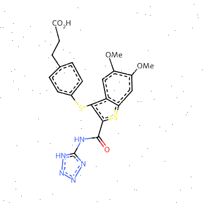 COc1cc2sc(C(=O)Nc3nnn[nH]3)c(Sc3ccc(CCC(=O)O)cc3)c2cc1OC